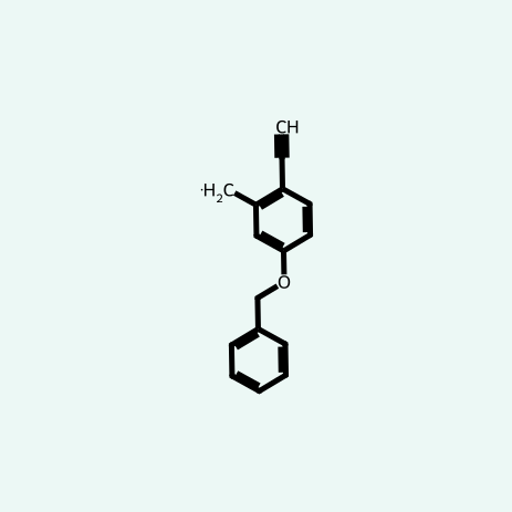 C#Cc1ccc(OCc2ccccc2)cc1[CH2]